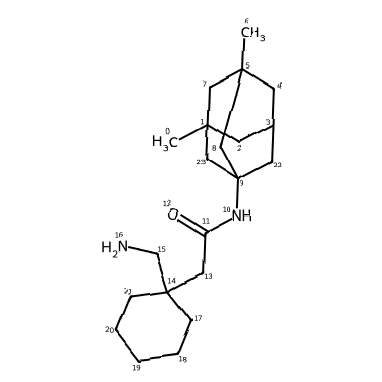 CC12CC3CC(C)(C1)CC(NC(=O)CC1(CN)CCCCC1)(C3)C2